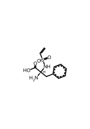 C=CS(=O)(=O)N[C@](N)(Cc1ccccc1)C(=O)O